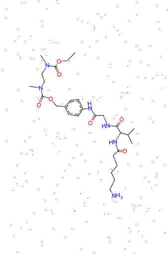 CCOC(=O)N(C)CCN(C)C(=O)OCc1ccc(NC(=O)CNC(=O)C(NC(=O)CCCCCN)C(C)C)cc1